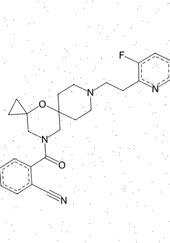 N#Cc1ccccc1C(=O)N1CC2(CCN(CCc3ncccc3F)CC2)OC2(CC2)C1